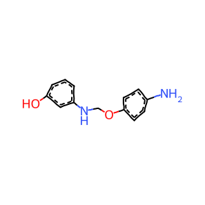 Nc1ccc(OCNc2cccc(O)c2)cc1